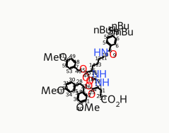 CCC[CH2][Sn]([CH2]CCC)([CH2]CCC)[c]1ccc(C(=O)NCCCCC(NC(=O)NC(CCC(=O)O)C(=O)OC(Cc2ccc(OC)cc2)c2ccc(OC)cc2)C(=O)OCc2ccc(OC)cc2)cc1